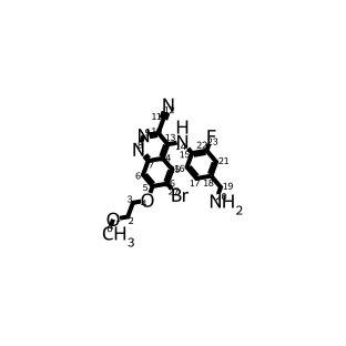 COCCOc1cc2nnc(C#N)c(Nc3ccc(CN)cc3F)c2cc1Br